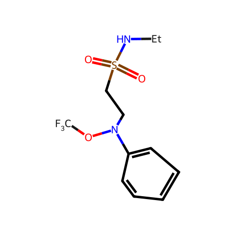 CCNS(=O)(=O)CCN(OC(F)(F)F)c1ccccc1